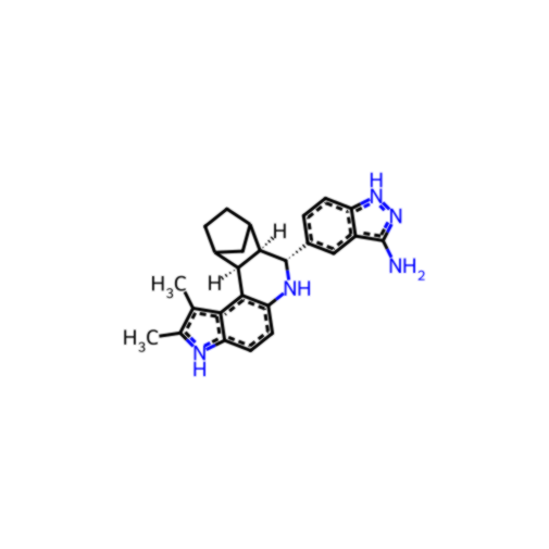 Cc1[nH]c2ccc3c(c2c1C)[C@H]1C2CCC(C2)[C@H]1[C@H](c1ccc2[nH]nc(N)c2c1)N3